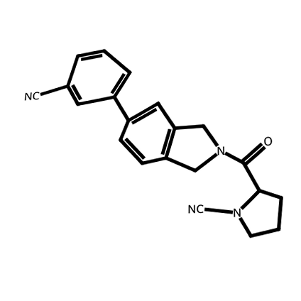 N#Cc1cccc(-c2ccc3c(c2)CN(C(=O)C2CCCN2C#N)C3)c1